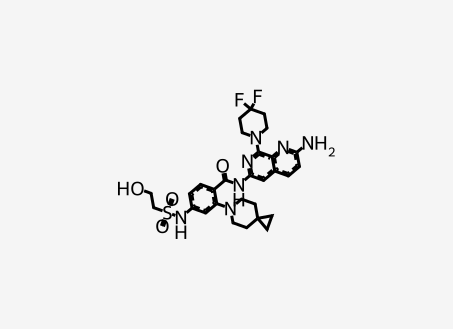 Nc1ccc2cc(NC(=O)c3ccc(NS(=O)(=O)CCO)cc3N3CCC4(CC3)CC4)nc(N3CCC(F)(F)CC3)c2n1